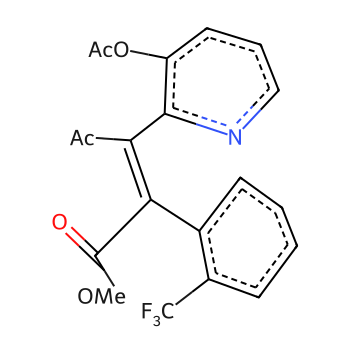 COC(=O)C(=C(C(C)=O)c1ncccc1OC(C)=O)c1ccccc1C(F)(F)F